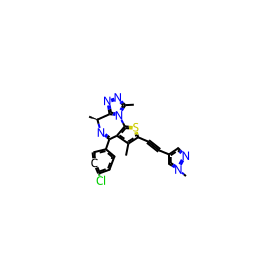 Cc1c(C#Cc2cnn(C)c2)sc2c1C(c1ccc(Cl)cc1)=N[C@@H](C)c1nnc(C)n1-2